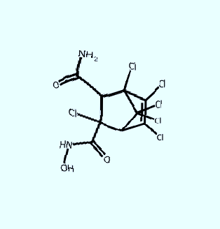 NC(=O)C1C(Cl)(C(=O)NO)C2C(Cl)=C(Cl)C1(Cl)C2(Cl)Cl